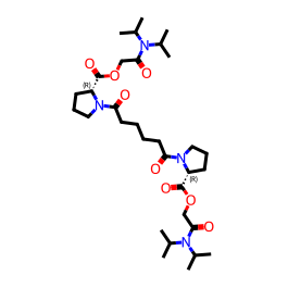 CC(C)N(C(=O)COC(=O)[C@H]1CCCN1C(=O)CCCCC(=O)N1CCC[C@@H]1C(=O)OCC(=O)N(C(C)C)C(C)C)C(C)C